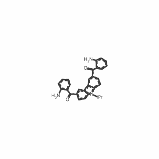 CC(C)n1c2ccc(C(=O)c3ccccc3N)cc2c2cc(C(=O)c3ccccc3N)ccc21